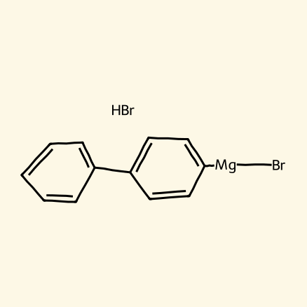 Br.[Br][Mg][c]1ccc(-c2ccccc2)cc1